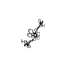 C=CC(=O)NCCCCOc1c(Cl)c(Cl)c(OCCCCNC(=O)C=C)c(Cl)c1Cl